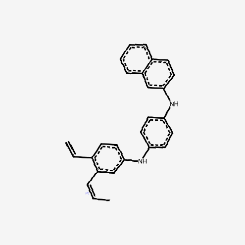 C=Cc1ccc(Nc2ccc(Nc3ccc4ccccc4c3)cc2)cc1/C=C\C